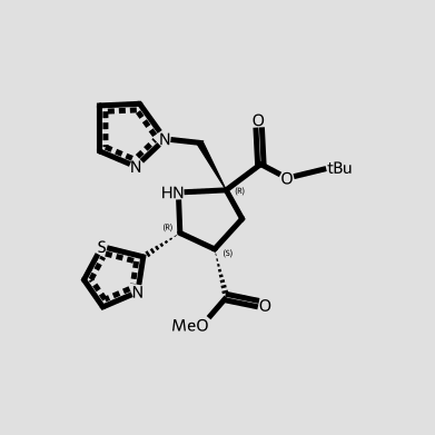 COC(=O)[C@H]1C[C@@](Cn2cccn2)(C(=O)OC(C)(C)C)N[C@H]1c1nccs1